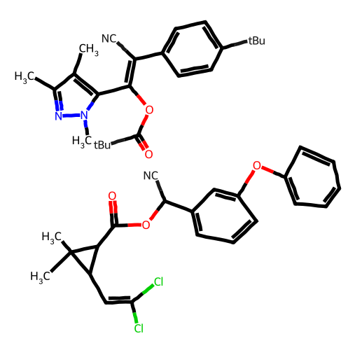 CC1(C)C(C=C(Cl)Cl)C1C(=O)OC(C#N)c1cccc(Oc2ccccc2)c1.Cc1nn(C)c(/C(OC(=O)C(C)(C)C)=C(\C#N)c2ccc(C(C)(C)C)cc2)c1C